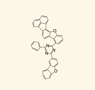 c1ccc(-c2nc(-c3ccc4oc5ccccc5c4c3)nc(-c3cccc4oc5c6c(ccc5c34)-c3cccc4cccc-6c34)n2)cc1